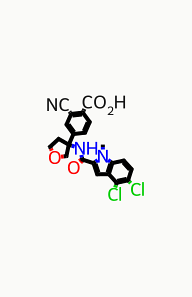 Cn1c(C(=O)NC2(c3ccc(C(=O)O)c(C#N)c3)CCOC2)cc2c(Cl)c(Cl)ccc21